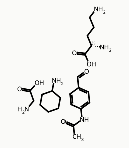 CC(=O)Nc1ccc(C=O)cc1.NC1CCCCC1.NCC(=O)O.NCCC[C@H](N)C(=O)O